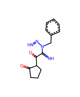 N=NN(Cc1ccccc1)C(=N)C(=O)C1CCCC1=O